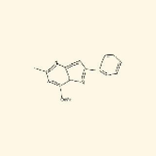 COc1[c]c(C)nc2cc(-c3ccccc3)nn12